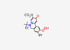 CCC(C)(C)N1Cc2cc(C(C)C)c(OO)cc2-c2cc(=O)c(C(=O)O)cn21